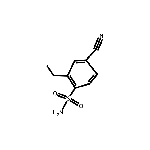 CCc1cc(C#N)ccc1S(N)(=O)=O